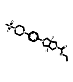 CCNC(=O)N1C[C@@H]2CN(c3ccc(N4CCN(S(C)(=O)=O)CC4)cc3)C[C@@H]2C1